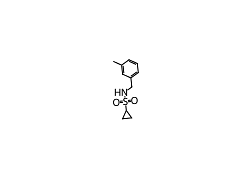 Cc1cccc(CNS(=O)(=O)C2CC2)c1